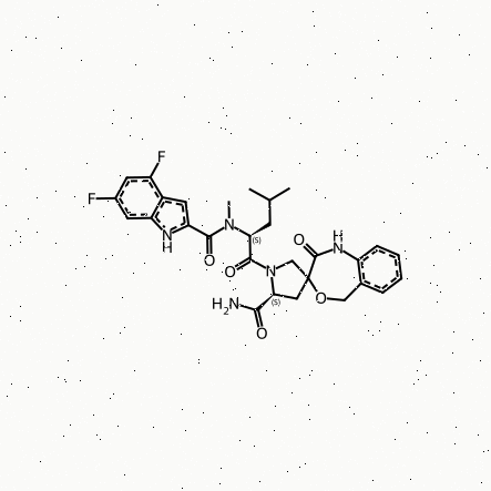 CC(C)C[C@@H](C(=O)N1CC2(C[C@H]1C(N)=O)OCc1ccccc1NC2=O)N(C)C(=O)c1cc2c(F)cc(F)cc2[nH]1